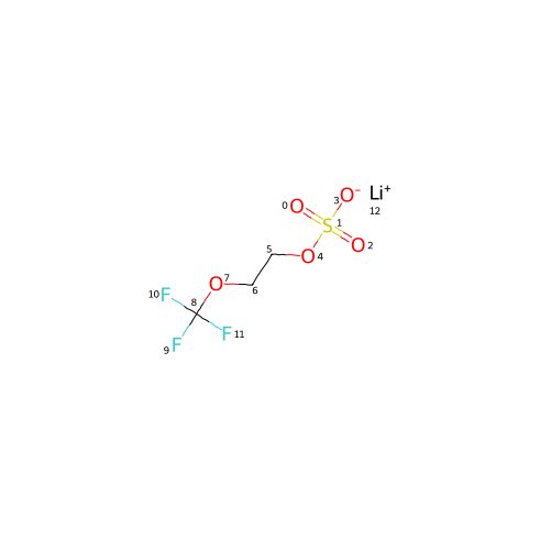 O=S(=O)([O-])OCCOC(F)(F)F.[Li+]